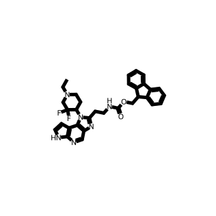 CCN1CCC(n2c(CCNC(=O)OCC3c4ccccc4-c4ccccc43)nc3cnc4[nH]ccc4c32)C(F)(F)C1